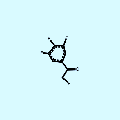 O=C(CF)c1cc(F)c(F)c(F)c1